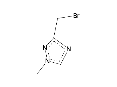 Cn1cnc(CBr)n1